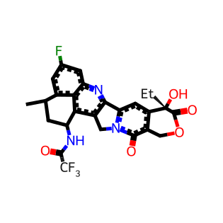 CC[C@@]1(O)C(=O)OCc2c1cc1n(c2=O)Cc2c-1nc1cc(F)cc3c1c2C(NC(=O)C(F)(F)F)CC3C